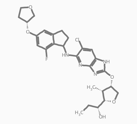 CC[C@@H](O)[C@H]1OC[C@@H](Oc2nc3nc(NC4CCc5cc(O[C@@H]6CCOC6)cc(F)c54)c(Cl)cc3[nH]2)[C@H]1C